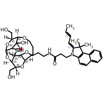 C/C=C/C=C1/N(CCC(=O)NCCCO[C@@H]2[C@@H](O)[C@@H]3OC4O[C@H](CO)[C@@H](OCCC[C@H]2O[C@@H]3CO)[C@H](O)[C@H]4O)c2ccc3ccccc3c2C1(C)C